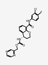 O=C(N[C@H]1CCOc2c(C(=O)Nc3ccc(F)c(Cl)c3)cccc21)OCc1cnccn1